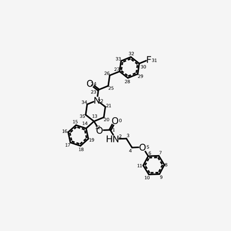 O=C(NCCOc1ccccc1)OC1(c2ccccc2)CCN(C(=O)CCc2ccc(F)cc2)CC1